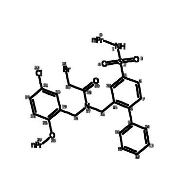 CCCNS(=O)(=O)c1ccc(-c2ccccc2)c(CN(Cc2cc(Cl)ccc2OCCC)C(=O)CBr)c1